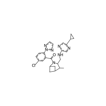 CC1C2CC(C2)N(C(=O)c2cc(Cl)ccc2-n2nccn2)C1CNc1cnc(C2CC2)cn1